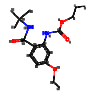 CCCOC(=O)Nc1cc(OCC)ccc1C(=O)NC(C)(C)C